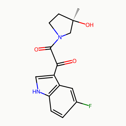 C[C@@]1(O)CCN(C(=O)C(=O)c2c[nH]c3ccc(F)cc23)C1